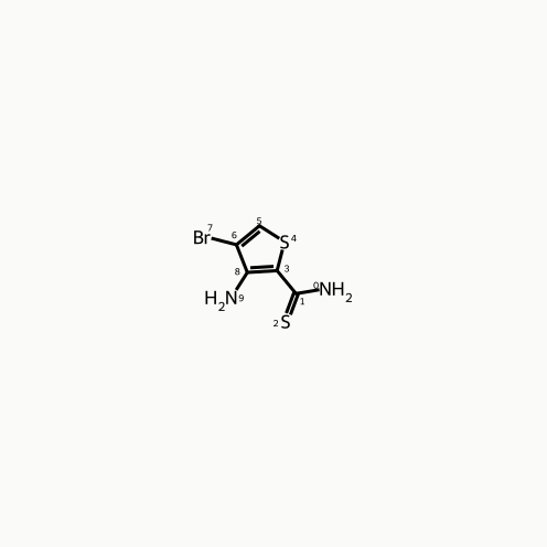 NC(=S)c1scc(Br)c1N